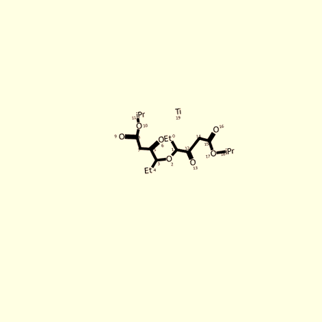 CCC(OC(CC)C(=O)CC(=O)OC(C)C)C(=O)CC(=O)OC(C)C.[Ti]